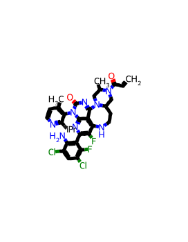 C=CC(=O)N1CC2CCNc3c(F)c(-c4c(N)c(Cl)cc(Cl)c4F)nc4c3c(nc(=O)n4-c3c(C)ccnc3C(C)C)N2CC1C